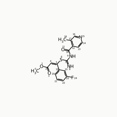 COC(=O)/C=C(/SC(=N)NC(=O)c1ccncc1C)c1cccc(F)c1